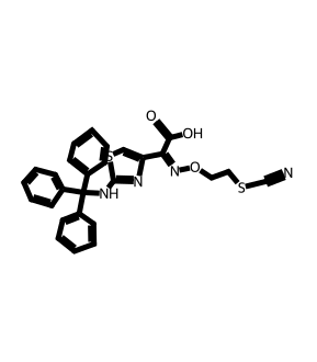 N#CSCCON=C(C(=O)O)c1csc(NC(c2ccccc2)(c2ccccc2)c2ccccc2)n1